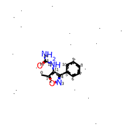 Cc1onc(-c2ccccc2)c1NC(N)=O